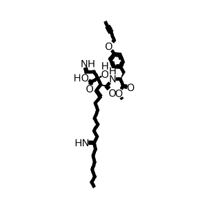 CC#CCOc1ccc(C[C@H](NC(=O)[C@@H](/C=C/CCCCCCC(=N)CCCCCCC)[C@@](O)(CC=N)C(=O)O)C(=O)OC)cc1